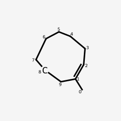 CC1=CCCCCCCC1